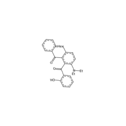 CCCCCCc1ccc(N(CC)CC)c(C(=O)c2ccccc2O)c1C(=O)c1ccccc1